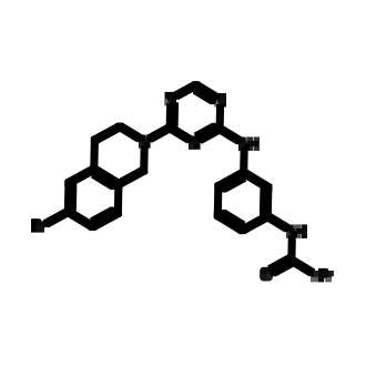 CCCC(=O)Nc1cccc(Nc2ncnc(N3CCc4cc(Br)ccc4C3)n2)c1